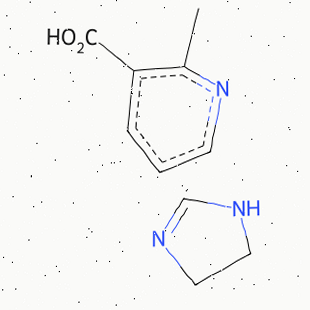 C1=NCCN1.Cc1ncccc1C(=O)O